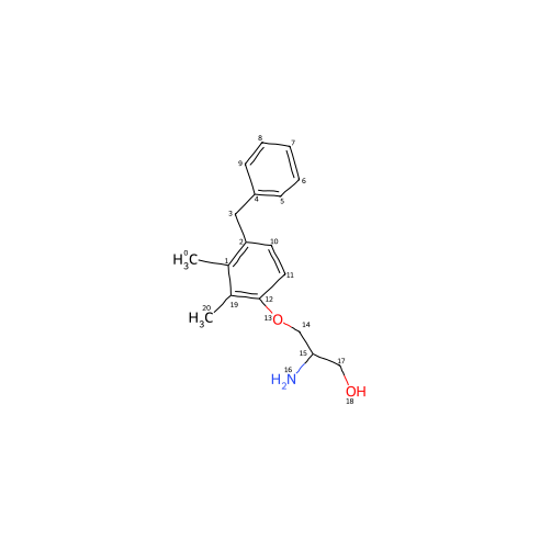 Cc1c(Cc2ccccc2)ccc(OCC(N)CO)c1C